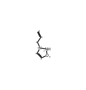 C=CCN1[C]=CON1